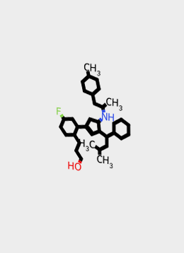 CC(C)CC(C1CCCCC1)C1C=C(C2CC(F)CCC2CCCO)CC1NC(C)CC1CCC(C)CC1